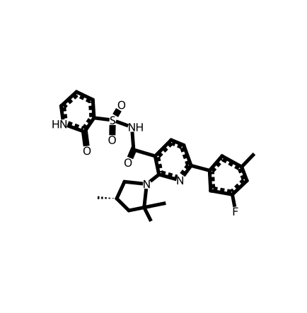 Cc1cc(F)cc(-c2ccc(C(=O)NS(=O)(=O)c3ccc[nH]c3=O)c(N3C[C@@H](C)CC3(C)C)n2)c1